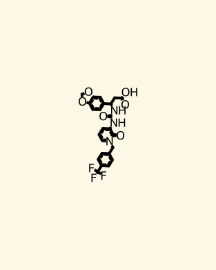 O=C(O)CC(NC(=O)Nc1cccn(Cc2ccc(C(F)(F)F)cc2)c1=O)c1ccc2c(c1)OCO2